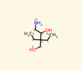 CCC(CC)(CO)C(O)CN